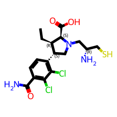 CC[C@@H]1[C@@H](c2ccc(C(N)=O)c(Cl)c2Cl)CN(C[C@@H](N)CS)[C@@H]1C(=O)O